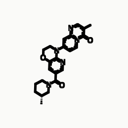 Cc1cnc2cc(N3CCOc4cc(C(=O)N5CCC[C@@H](C)C5)cnc43)ccn2c1=O